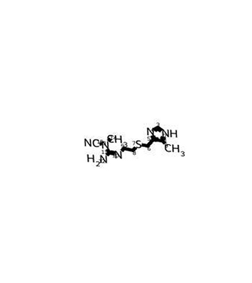 Cc1[nH]cnc1CSCCN=C(N)N(C)C#N